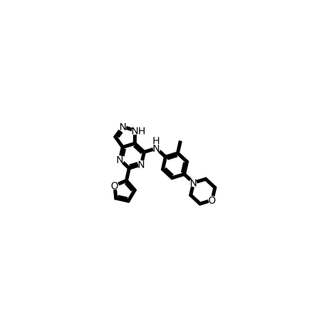 Cc1cc(N2CCOCC2)ccc1Nc1nc(-c2ccco2)nc2cn[nH]c12